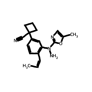 C/C=C\c1ccc(C2(C#N)CCC2)cc1N(N)c1ncc(C)o1